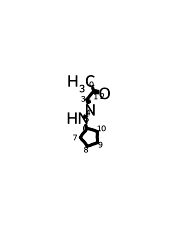 CC(=O)/C=N/NC1CCCC1